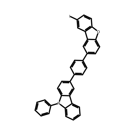 Ic1ccc2oc3ccc(-c4ccc(-c5ccc6c(c5)c5ccccc5n6-c5ccccc5)cc4)cc3c2c1